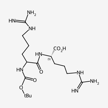 CC(C)(C)OC(=O)NC(CCCNC(=N)N)C(=O)N[C@@H](CCCNC(=N)N)C(=O)O